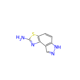 Nc1nc2c(ccc3[nH]ncc32)s1